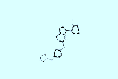 COc1ccccc1-c1ccc2cnc(Nc3ccc(CN4CCCC4)cc3)nn12